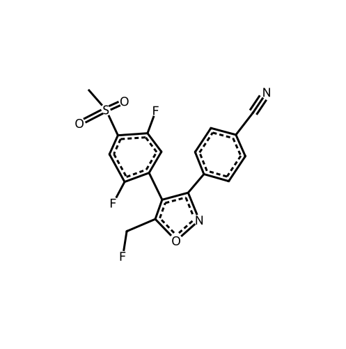 CS(=O)(=O)c1cc(F)c(-c2c(-c3ccc(C#N)cc3)noc2CF)cc1F